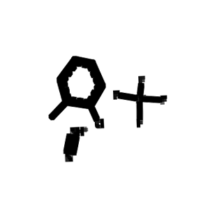 Cc1ccccc1Cl.F[B-](F)(F)F.N#[NH+]